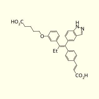 CCC(=C(c1ccc(C=CC(=O)O)cc1)c1ccc2[nH]ncc2c1)c1cccc(OCCCCC(=O)O)c1